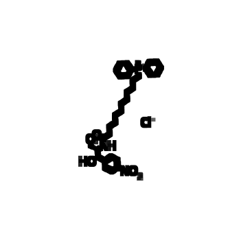 C[P+](CCCCCCCCCCCC(=O)N[C@H](CO)[C@H](O)c1ccc([N+](=O)[O-])cc1)(c1ccccc1)c1ccccc1.[Cl-]